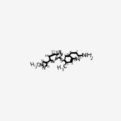 Cc1cc2nc(N)ccc2cc1Sc1nnc2ccc(-c3cnn(C)c3)nn12